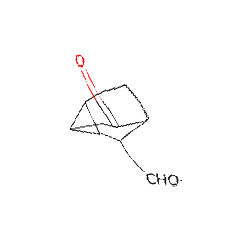 O=[C]C1C2CC3C(C2=O)C13